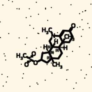 CN1C[C@H]2[C@@H]3CC(OS(C)(=O)=O)C[C@@]3(C)CC[C@@H]2[C@@]2(C)CCC(=O)C=C12